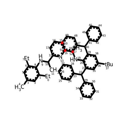 CCc1cc(C)cc(CC)c1NC(C)c1cccc(C(C)Nc2c(C(c3ccccc3)c3ccccc3)cc(C(C)(C)C)cc2C(c2ccccc2)c2ccccc2)n1